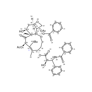 CC(=O)O[C@H]1C(=O)[C@@]2(C)[C@H]([C@H](OC(=O)c3ccccc3)CC[C@H](OC(=O)[C@H](O)C(NC(=O)c3ccccc3)c3ccccc3)/C(C)=C/1C(C)(C)C)[C@]1(OC(C)=O)CO[C@@H]1C[C@@H]2O